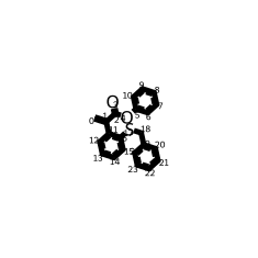 C=C(C(=O)Oc1ccccc1)c1ccccc1SCc1ccccc1